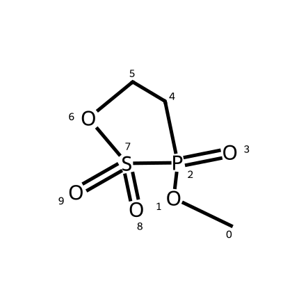 COP1(=O)CCOS1(=O)=O